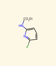 CCOC(=O)Nc1cccc(F)n1